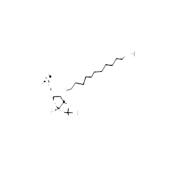 CCCCCCCCCCCCO[C@@H]1[C@H]2OC(C)(C)O[C@H]2O[C@@H]1COS(C)(=O)=O